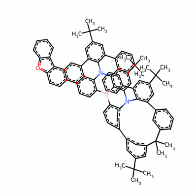 CC(C)(C)c1cc2cc(c1)C(C)(C)c1cccc(c1)-c1cc(C(C)(C)C)cc(-c3ccccc3)c1N1c3cc-2ccc3B2c3ccc(-c4ccc5oc6ccccc6c5c4)cc3N(c3c(-c4ccccc4)cc(C(C)(C)C)cc3-c3ccccc3)c3cc(C(C)(C)C)cc1c32